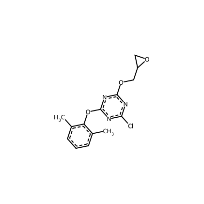 Cc1cccc(C)c1Oc1nc(Cl)nc(OCC2CO2)n1